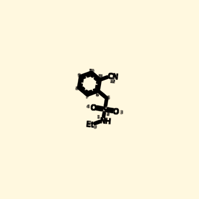 CCNS(=O)(=O)Cc1ccccc1C#N